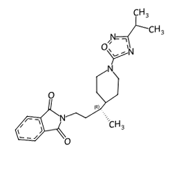 CC(C)c1noc(N2CCC([C@H](C)CCN3C(=O)c4ccccc4C3=O)CC2)n1